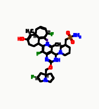 Cc1nc(C2CCC(O)=C[C@@]3(C)CC=C[C@@H](F)C(I)=C23)c(F)c2c1C(N1CCCC(CS(N)(=O)=O)C1)NC(OC[C@@]13CCCN1C[C@H](F)C3)=N2